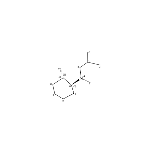 CC(C)CN(C)[C@H]1CCCC[C@@H]1C